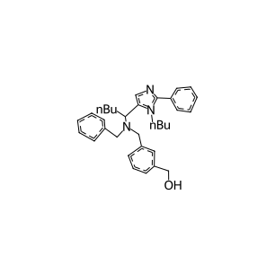 CCCCC(c1cnc(-c2ccccc2)n1CCCC)N(Cc1ccccc1)Cc1cccc(CO)c1